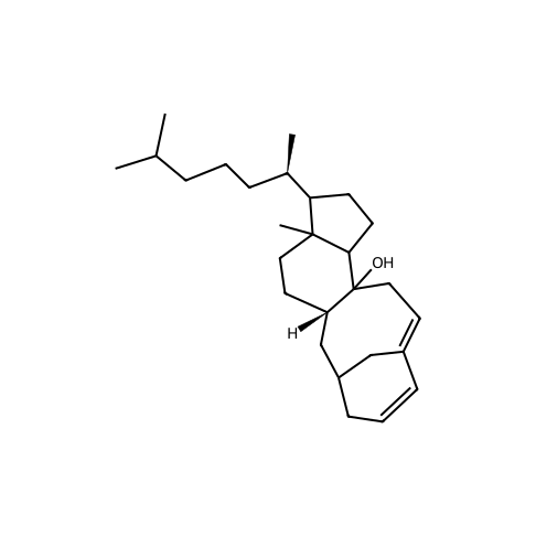 CC(C)CCC[C@@H](C)C1CCC2C1(C)CC[C@H]1CC3CC=C/C(=C/CC21O)C3